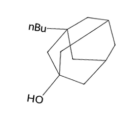 CCCCC12CC3CC(CC(O)(C3)C1)C2